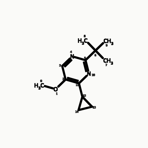 COc1cnc(C(C)(C)C)nc1C1CC1